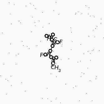 CC1C=CC(n2c3ccccc3c3cc(N(c4ccc(F)cc4)c4ccc(-c5ccc(N(c6ccc7c(c6)c6ccccc6n7-c6ccccc6)C6C=CC(F)=CC6C)cc5)cc4)ccc32)=CC1